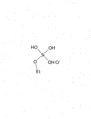 CCO[Si](O)(O)O.[Cr]